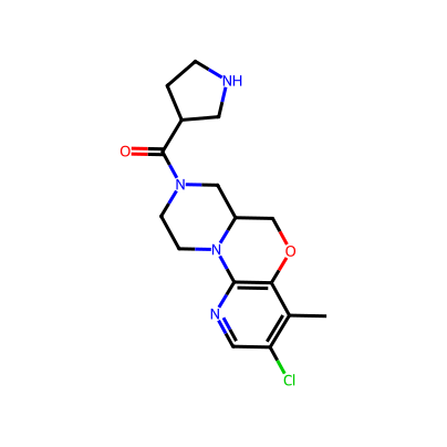 Cc1c(Cl)cnc2c1OCC1CN(C(=O)C3CCNC3)CCN21